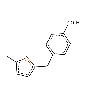 Cc1ccc(Cc2ccc(C(=O)O)cc2)s1